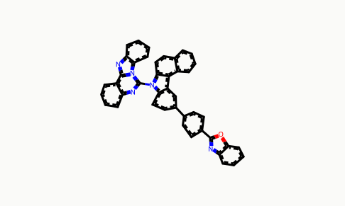 c1ccc2c(c1)ccc1c2c2cc(-c3ccc(-c4nc5ccccc5o4)cc3)ccc2n1-c1nc2ccccc2c2nc3ccccc3n12